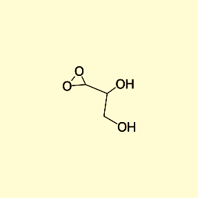 OCC(O)C1OO1